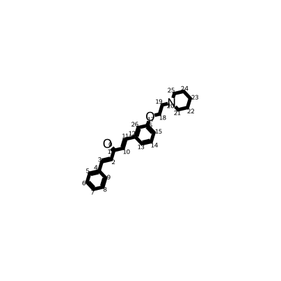 O=C(/C=C/c1ccccc1)/C=C/c1cccc(OCCN2CCCCC2)c1